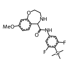 COc1ccc2c(c1)OCCNC2C(=O)Nc1cc(F)c([Si](C)(C)C)c(F)c1